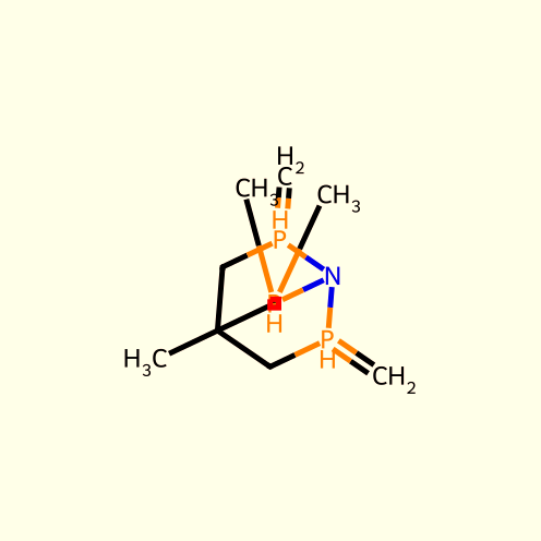 C=[PH]1CC2(C)C[PH](=C)N1[PH](C)(C)C2